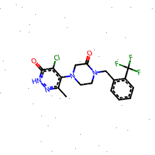 Cc1n[nH]c(=O)c(Cl)c1N1CCN(Cc2ccccc2C(F)(F)F)C(=O)C1